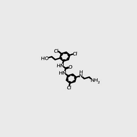 NCCNc1cc(Cl)cc(NC(=O)Nc2cc(Cl)cc(Cl)c2CCO)c1